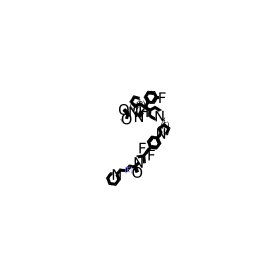 COC(=O)N[C@H]1CCC[C@@H]1[C@](C#N)(c1cccc(F)c1)C1CCN(C[C@@H]2CCN(c3ccc(C(F)(F)C4CN(C(=O)/C=C/CN5CCCCC5)C4)cc3)C2)CC1